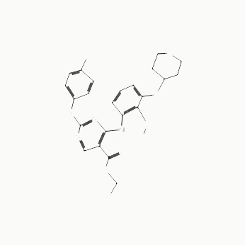 CCOC(=O)c1cnc(Nc2ccc(F)cc2)nc1Nc1cccc(OC2CCOCC2)c1OC